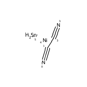 N#CC#N.[Ni].[SnH2]